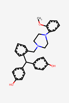 COc1ccccc1N1CCN(Cc2ccccc2C(c2ccc(O)cc2)c2ccc(O)cc2)CC1